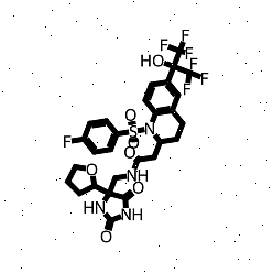 O=C(CC1CCc2cc(C(O)(C(F)(F)F)C(F)(F)F)ccc2N1S(=O)(=O)c1ccc(F)cc1)NCC1(C2CCCO2)NC(=O)NC1=O